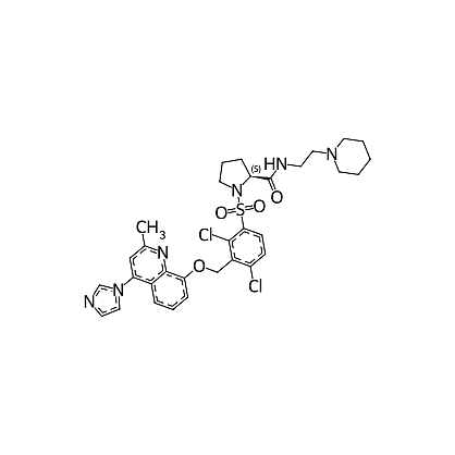 Cc1cc(-n2ccnc2)c2cccc(OCc3c(Cl)ccc(S(=O)(=O)N4CCC[C@H]4C(=O)NCCN4CCCCC4)c3Cl)c2n1